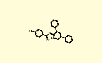 N=C(/N=c1\[nH]cc(-c2ccccc2)cc1-c1ccccc1)c1ccc(Cl)cc1